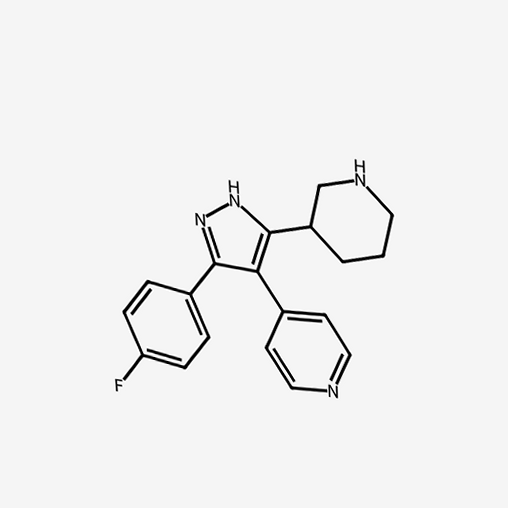 Fc1ccc(-c2n[nH]c(C3CCCNC3)c2-c2ccncc2)cc1